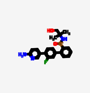 CC(C)(CO)N[S+]([O-])c1ccccc1-c1ccc(-c2ccc(N)nc2)c(F)c1